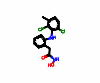 Cc1ccc(Cl)c(Nc2ccccc2CC(=O)NO)c1Cl